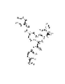 COc1ccc(CC(=O)N(Cc2ccc(C)cc2)C2CCN(CCc3ccccc3)CC2)cc1.Cl